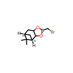 CC1(C)[C@@H]2CC3OB(CBr)OC3[C@H]1C2